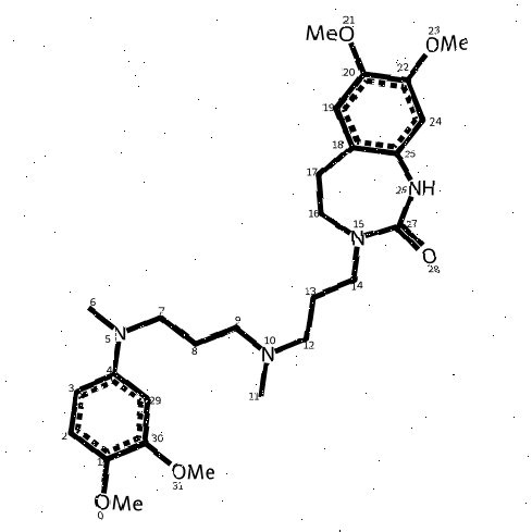 COc1ccc(N(C)CCCN(C)CCCN2CCc3cc(OC)c(OC)cc3NC2=O)cc1OC